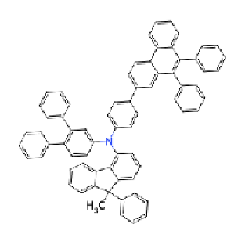 CC1(c2ccccc2)c2ccccc2-c2c(N(c3ccc(-c4ccc5c(c4)c(-c4ccccc4)c(-c4ccccc4)c4ccccc45)cc3)c3ccc(-c4ccccc4)c(-c4ccccc4)c3)cccc21